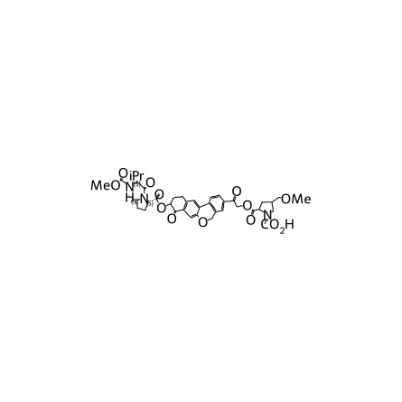 COCC1CC(C(=O)OCC(=O)c2ccc3c(c2)COc2cc4c(cc2-3)CCC(OC(=O)[C@@H]2CC[C@H](C)N2C(=O)[C@@H](NC(=O)OC)C(C)C)C4=O)N(C(=O)O)C1